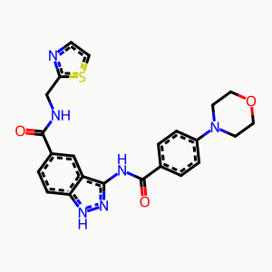 O=C(NCc1nccs1)c1ccc2[nH]nc(NC(=O)c3ccc(N4CCOCC4)cc3)c2c1